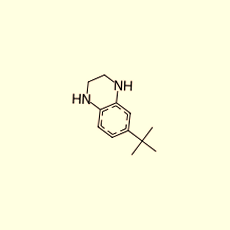 CC(C)(C)c1ccc2c(c1)NCCN2